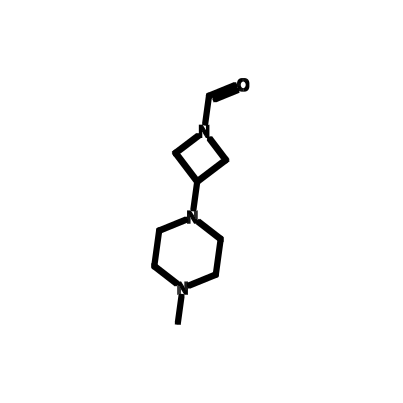 CN1CCN(C2CN(C=O)C2)CC1